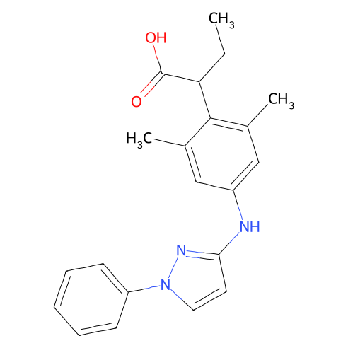 CCC(C(=O)O)c1c(C)cc(Nc2ccn(-c3ccccc3)n2)cc1C